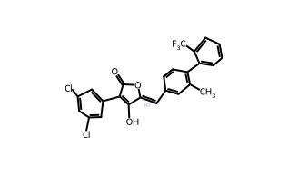 Cc1cc(/C=C2\OC(=O)C(c3cc(Cl)cc(Cl)c3)=C2O)ccc1-c1ccccc1C(F)(F)F